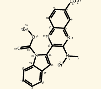 CC(C)N(C)c1nc2cc(C(=O)O)ccc2nc1-c1cc2ccccc2n1C(=O)OC(C)(C)C